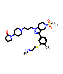 CCCNCCSc1cc(-c2nn(CCCN3CCC(N4CCCC4=O)CC3)c3c2CN(S(C)(=O)=O)CC3)ccc1C(F)(F)F